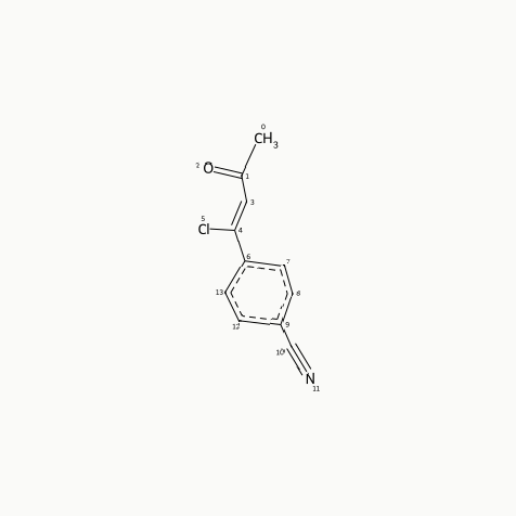 CC(=O)C=C(Cl)c1ccc(C#N)cc1